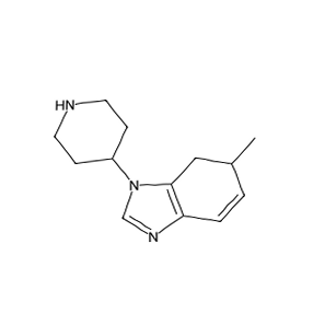 CC1C=Cc2ncn(C3CCNCC3)c2C1